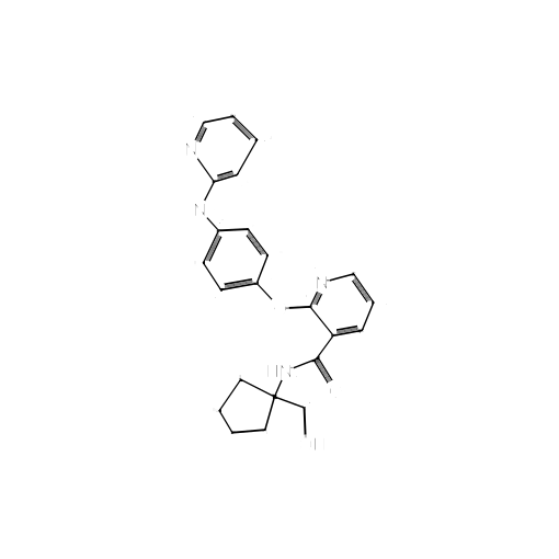 O=C(NC1(CO)CCCC1)c1cccnc1Oc1ccc(Nc2ccccn2)cc1